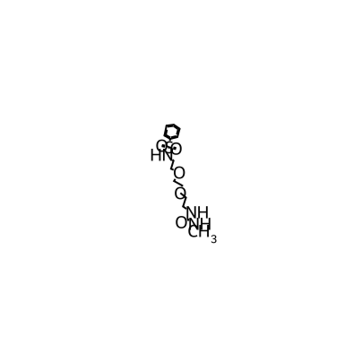 CNC(=O)NCCOCCOCCNS(=O)(=O)c1ccccc1